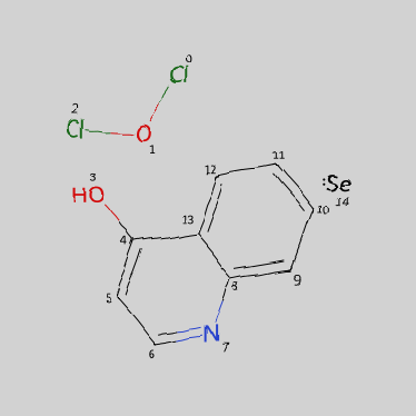 ClOCl.Oc1ccnc2ccccc12.[Se]